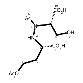 CC(=O)OCC[C@H](NN(C(C)=O)[C@@H](CO)C(=O)O)C(=O)O